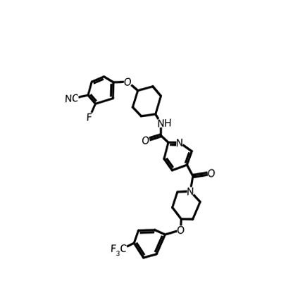 N#Cc1ccc(OC2CCC(NC(=O)c3ccc(C(=O)N4CCC(Oc5ccc(C(F)(F)F)cc5)CC4)cn3)CC2)cc1F